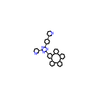 c1cncc(-c2ccc(-c3nc(-c4cccnc4)nc(-c4ccc5c6ccccc6c6ccccc6c6ccccc6c6ccccc6c5c4)n3)cc2)c1